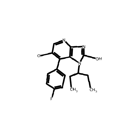 CCC(CC)n1c(O)nc2ncc(Cl)c(-c3ccc(F)cc3)c21